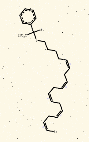 CC/C=C\C/C=C\C/C=C\C/C=C\C/C=C\CCCCSC(CC)(C(=O)OCC)c1ccccc1